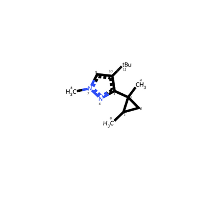 CC1CC1(C)c1nn(C)cc1C(C)(C)C